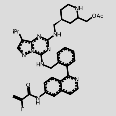 C=C(F)C(=O)Nc1ccc2c(-c3ccccc3CNc3nc(NC[C@H]4CCNC(COC(C)=O)C4)nc4c(C(C)C)cnn34)nccc2c1